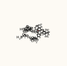 B[C@H]1C[C@@H](OCSSC(C)(C)CNC(=O)c2ccc(C3=c4cc5c6c(c4Oc4c3cc3c7c4CCCN7CCC3)CCC[N+]=6CCC5)c(C(=O)O)c2)[C@@H](COP(=O)(O)OP(=O)(O)OP(=O)(O)O)O1